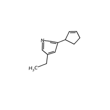 CCc1cncc(C2C=CCC2)c1